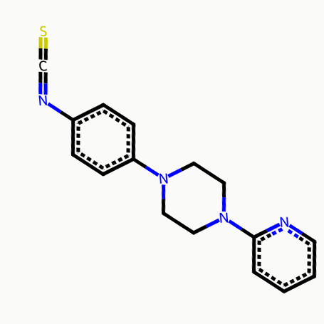 S=C=Nc1ccc(N2CCN(c3ccccn3)CC2)cc1